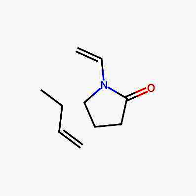 C=CCC.C=CN1CCCC1=O